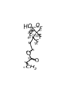 C=CC(=O)OCCC(F)(F)C(F)(F)S(=O)(=O)O